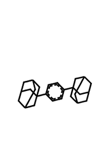 c1cc(C23CC4CC(CC(C4)C2)C3)ccc1C12CC3CC(CC(C3)C1)C2